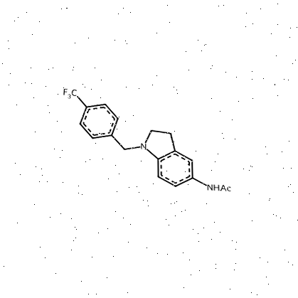 CC(=O)Nc1ccc2c(c1)CCN2Cc1ccc(C(F)(F)F)cc1